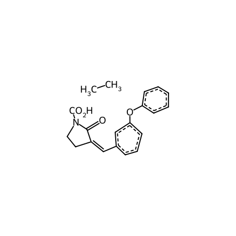 CC.O=C(O)N1CCC(=Cc2cccc(Oc3ccccc3)c2)C1=O